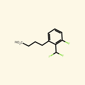 O=C(O)CCCc1cccc(F)c1C(F)F